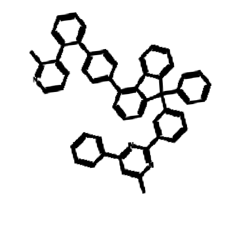 Cc1cc(-c2ccccc2)nc(-c2cccc(C3(c4ccccc4)c4ccccc4-c4c(-c5ccc(-c6ccccc6-c6cccnc6C)cc5)cccc43)c2)n1